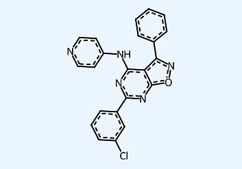 Clc1cccc(-c2nc(Nc3ccncc3)c3c(-c4ccccc4)noc3n2)c1